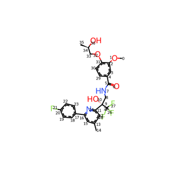 COc1cc(C(=O)NC[C@](O)(c2cc(C)cc(-c3ccc(F)cc3)n2)C(F)(F)F)ccc1OC[C@@H](C)O